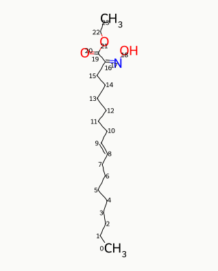 CCCCCCCCC=CCCCCCCC(=NO)C(=O)OCC